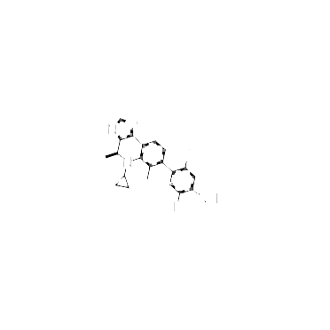 C=C1c2ncoc2-c2ccc(-c3cc(F)c(N)cc3F)c(C)c2N1C1CC1